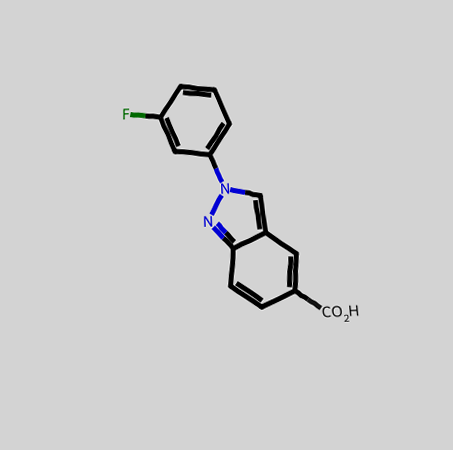 O=C(O)c1ccc2nn(-c3cccc(F)c3)cc2c1